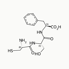 N[C@@H](CS)C(=O)N[C@@H](CO)C(=O)N[C@@H](Cc1ccccc1)C(=O)O